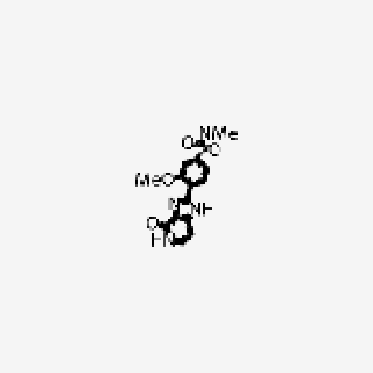 CNS(=O)(=O)c1ccc(-c2nc3c(=O)[nH]ccc3[nH]2)c(OC)c1